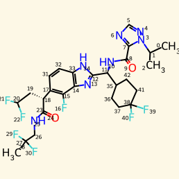 CC(C)n1ncnc1C(=O)N[C@H](c1nc2c(F)c([C@@H](CC(F)F)C(=O)NCC(C)(F)F)ccc2[nH]1)C1CCC(F)(F)CC1